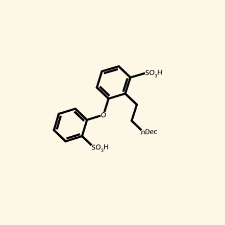 CCCCCCCCCCCCc1c(Oc2ccccc2S(=O)(=O)O)cccc1S(=O)(=O)O